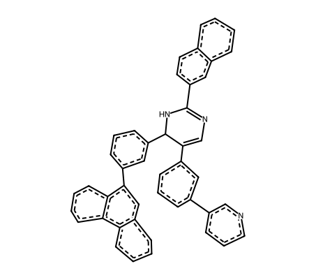 C1=C(c2cccc(-c3cccnc3)c2)C(c2cccc(-c3cc4ccccc4c4ccccc34)c2)NC(c2ccc3ccccc3c2)=N1